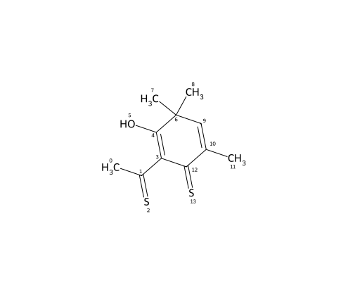 CC(=S)C1=C(O)C(C)(C)C=C(C)C1=S